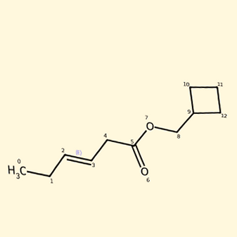 CC/C=C/CC(=O)OCC1CCC1